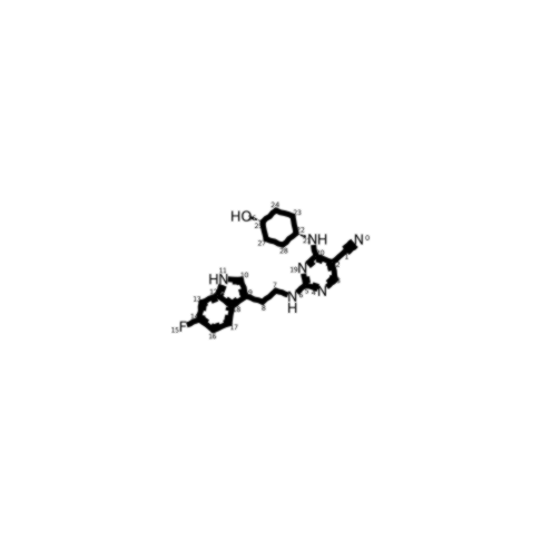 N#Cc1cnc(NCCc2c[nH]c3cc(F)ccc23)nc1N[C@H]1CC[C@@H](O)CC1